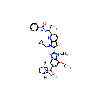 COc1cc(C(=O)N2[C@H]3CC[C@@H]2[C@H](N)C3)cc2nc(-c3cc4ccc([C@@H](C)NC(=O)c5ccccc5)nc4n3CC3CC3)n(C)c12